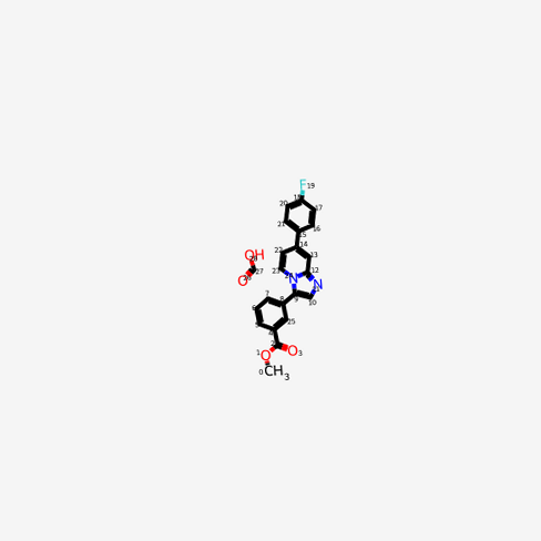 COC(=O)c1cccc(-c2cnc3cc(-c4ccc(F)cc4)ccn23)c1.O=CO